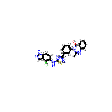 Cc1nc2ccccc2c(=O)n1-c1cccc(-c2nsc(Nc3ccc4[nH]ncc4c3Cl)n2)c1